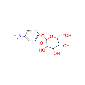 Nc1ccc(O[C@@]2(O)O[C@H](CO)[C@H](O)[C@H](O)[C@H]2O)cc1